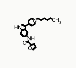 CCCCCCN1CC=C(c2c[nH]c3ccc(NC(=O)c4ccco4)cc23)CC1